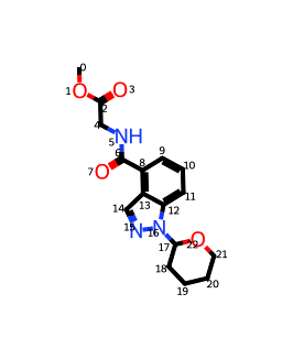 COC(=O)CNC(=O)c1cccc2c1cnn2C1CCCCO1